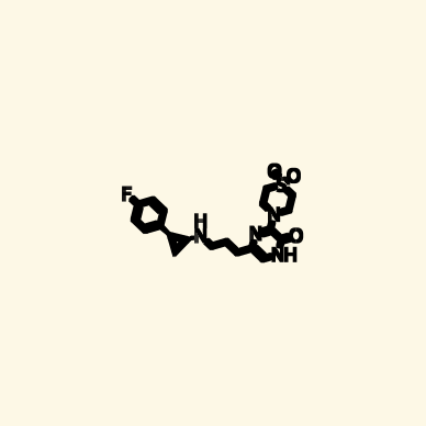 O=c1[nH]cc(CCCN[C@@H]2C[C@H]2c2ccc(F)cc2)nc1N1CCS(=O)(=O)CC1